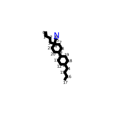 C=CCCC1(C#N)CCC(C2CCC(CCCC)CC2)CC1